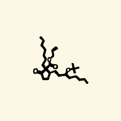 C=CCOC(=O)C1(CCCCCCC)C(=O)CC[C@@H]1CCC(CCCCC)OC(C)(C)C